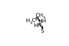 CN(C)NNC=S